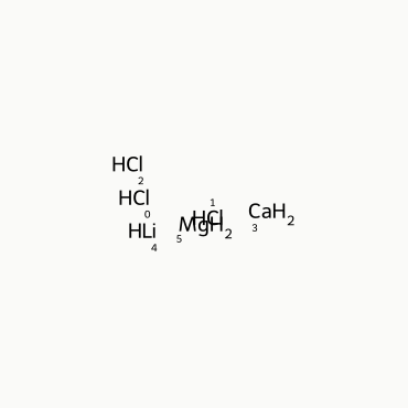 Cl.Cl.Cl.[CaH2].[LiH].[MgH2]